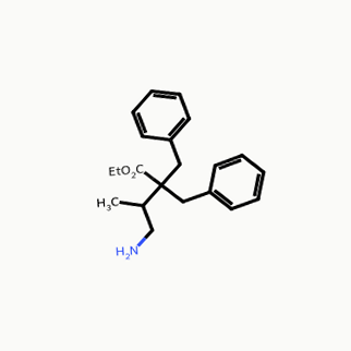 CCOC(=O)C(Cc1ccccc1)(Cc1ccccc1)C(C)CN